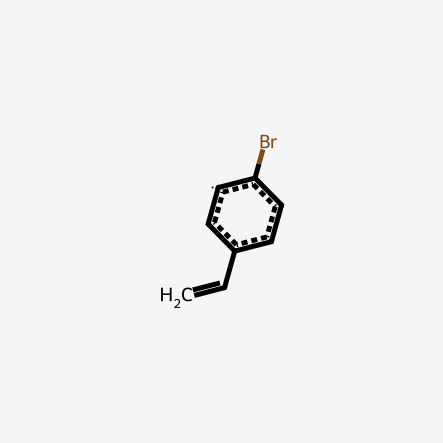 C=Cc1c[c]c(Br)cc1